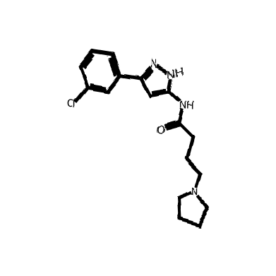 O=C(CCCN1CCCC1)Nc1cc(-c2cccc(Cl)c2)n[nH]1